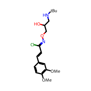 COc1ccc(C=CC(Cl)=NOCC(O)CNC(C)(C)C)cc1OC